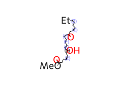 CC/C=C\C/C=C\CC(=O)\C=C/C=C/C=C/[C@@H](O)C/C=C\CCC(=O)OC